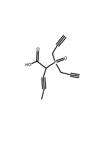 C#CCP(=O)(CC#C)C(C#CC)C(=O)O